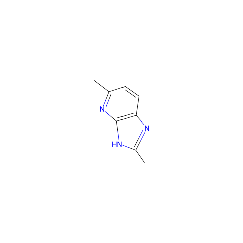 Cc1ccc2nc(C)[nH]c2n1